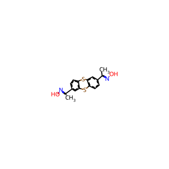 C/C(=N\O)c1ccc2c(c1)Sc1ccc(/C(C)=N/O)cc1S2